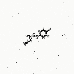 [CH2]N(CC#N)SSc1ccc(C)cc1